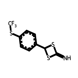 N=C1SC(c2ccc(SC(F)(F)F)cc2)S1